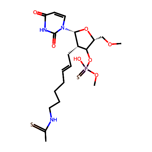 COC[C@H]1O[C@@H](n2ccc(=O)[nH]c2=O)[C@@H](C/C=C/CCCCNC(C)=S)C1OP(O)(=S)OC